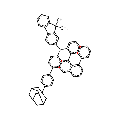 CC1(C)c2ccccc2-c2ccc(N(c3ccc(-c4ccc(C56CC7CC(CC(C7)C5)C6)cc4)cc3)c3ccccc3-c3cccc4cccc(-c5ccccc5)c34)cc21